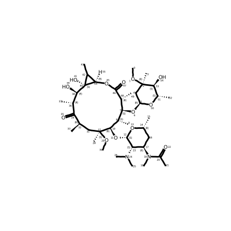 CO[C@]1(C)C[C@H](O[C@H]2[C@H](C)[C@@H](O[C@@H]3O[C@H](C)C[C@@H](N(C)C(C)=O)[C@@H]3N(C)C)[C@@](C)(OC)C[C@@H](C)C(=O)[C@H](C)[C@@H](O)[C@@]3(O)C(C)[C@H]3OC(=O)[C@@H]2C)O[C@@H](C)[C@@H]1O